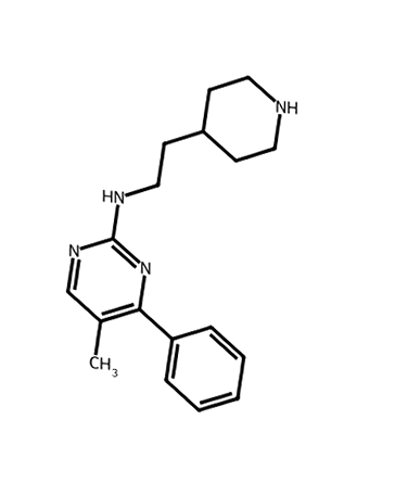 Cc1cnc(NCCC2CCNCC2)nc1-c1ccccc1